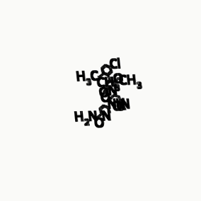 COc1cn(C(Cc2ncco2)C(=O)Nc2ccc(C(N)=O)nc2)c(=O)cc1-c1cc(Cl)ccc1C(C)C